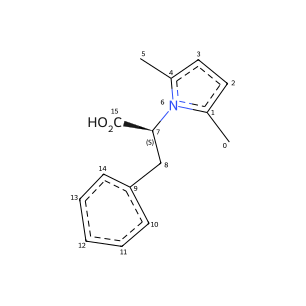 Cc1ccc(C)n1[C@@H](Cc1ccccc1)C(=O)O